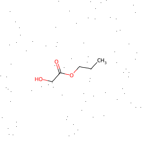 CCCOC(=O)[CH]O